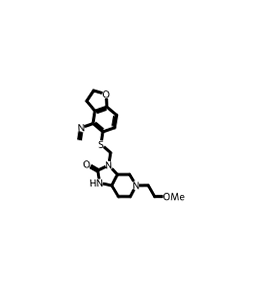 C=Nc1c(SCN2C(=O)NC3CCN(CCOC)CC32)ccc2c1CCO2